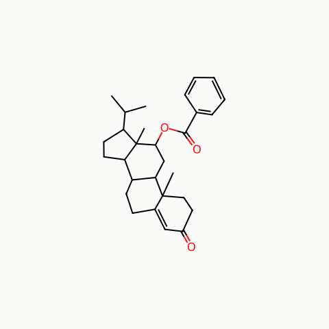 CC(C)C1CCC2C3CCC4=CC(=O)CCC4(C)C3CC(OC(=O)c3ccccc3)C12C